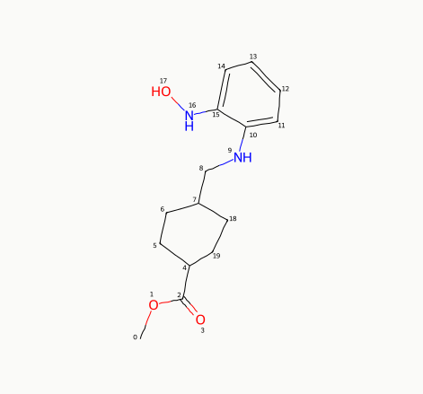 COC(=O)C1CCC(CNc2ccccc2NO)CC1